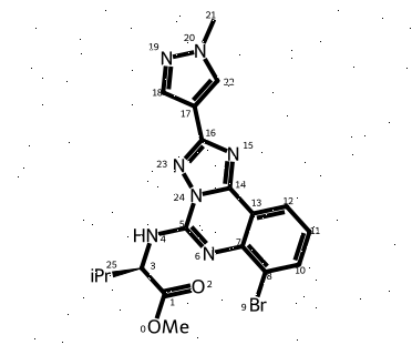 COC(=O)[C@H](Nc1nc2c(Br)cccc2c2nc(-c3cnn(C)c3)nn12)C(C)C